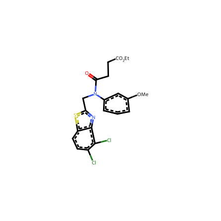 CCOC(=O)CCC(=O)N(Cc1nc2c(Cl)c(Cl)ccc2s1)c1cccc(OC)c1